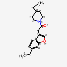 CCc1ccc2c(CC(=O)N3CCC(CC)CC3)coc2c1